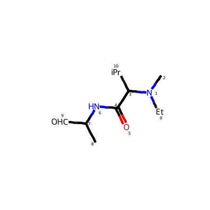 CCN(C)C(C(=O)NC(C)C=O)C(C)C